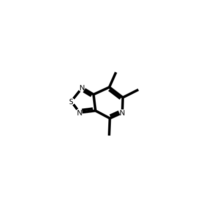 Cc1nc(C)c2nsnc2c1C